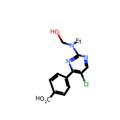 CCN(CO)c1ncc(Cl)c(-c2ccc(C(=O)O)cc2)n1